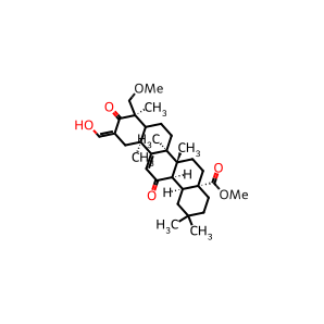 COC[C@]1(C)C(=O)/C(=C\O)C[C@]2(C)C3=CC(=O)[C@@H]4[C@@H]5CC(C)(C)CC[C@]5(C(=O)OC)CC[C@@]4(C)[C@]3(C)CCC12